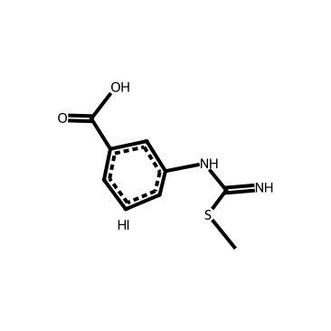 CSC(=N)Nc1cccc(C(=O)O)c1.I